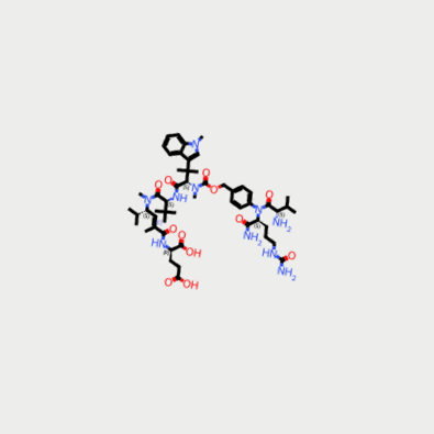 C/C(=C\[C@H](C(C)C)N(C)C(=O)[C@@H](NC(=O)[C@@H](N(C)C(=O)OCc1ccc(N(C(=O)[C@@H](N)C(C)C)[C@@H](CCCNC(N)=O)C(N)=O)cc1)C(C)(C)c1cn(C)c2ccccc12)C(C)(C)C)C(=O)N[C@H](CCC(=O)O)C(=O)O